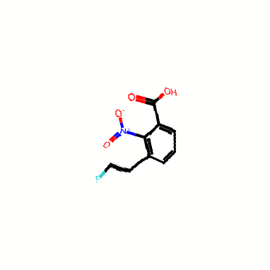 O=C(O)c1cccc(CCF)c1[N+](=O)[O-]